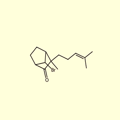 CC(C)=CCCC1(C)C(=O)C2CCC1C2Br